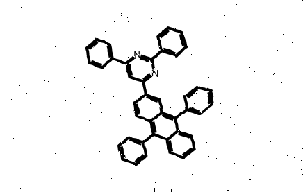 c1ccc(-c2cc(-c3ccc4c(-c5ccccc5)c5ccccc5c(-c5ccccc5)c4c3)nc(-c3ccccc3)n2)cc1